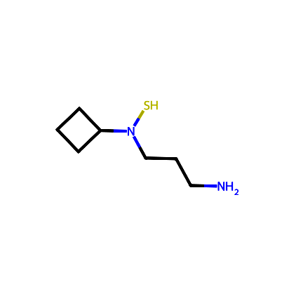 NCCCN(S)C1CCC1